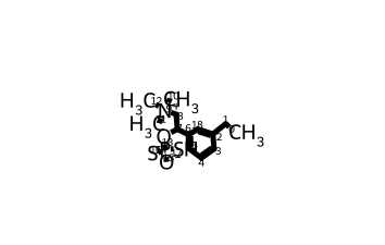 CCc1cccc(C(C[N+](C)(C)C)OP([O-])(=S)S)c1